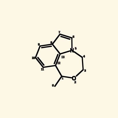 CC1OCCn2ccc3cccc1c32